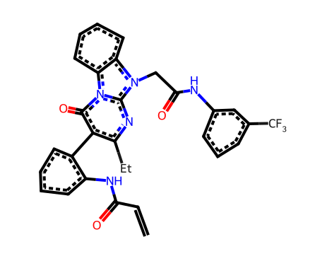 C=CC(=O)Nc1ccccc1-c1c(CC)nc2n(CC(=O)Nc3cccc(C(F)(F)F)c3)c3ccccc3n2c1=O